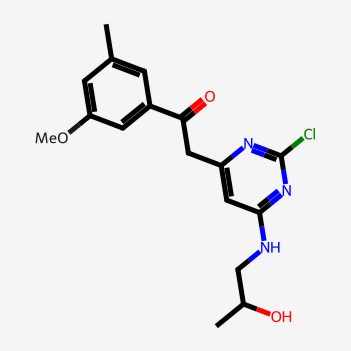 COc1cc(C)cc(C(=O)Cc2cc(NCC(C)O)nc(Cl)n2)c1